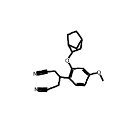 COc1ccc(C(CC#N)CC#N)c(OC2CC3CCC2C3)c1